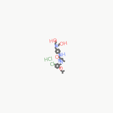 Cc1cc(C(=O)Nc2ccc(CN(CCO)CCO)cc2)nn1Cc1cc(Cl)ccc1OCC(C)C.Cl